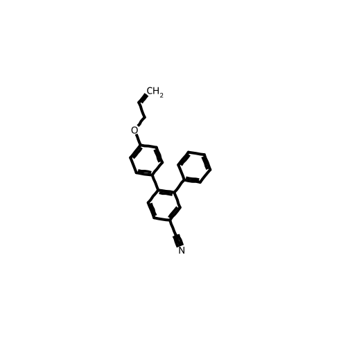 C=CCOc1ccc(-c2ccc(C#N)cc2-c2ccccc2)cc1